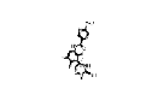 CCOc1cnc(C(=O)Nc2cc(F)c(F)c([C@]3(C)CSN(C)C(=N)N3)c2F)cn1